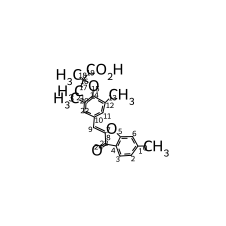 Cc1ccc2c(c1)O/C(=C\c1cc(C)c(OC(C)(C)C(=O)O)c(C)c1)C2=O